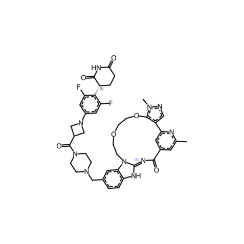 Cc1cc2cc(n1)-c1cnn(C)c1OCCOCCN1/C(=N/C2=O)Nc2ccc(CN3CCN(C(=O)C4CN(c5cc(F)c([C@H]6CCC(=O)NC6=O)c(F)c5)C4)CC3)cc21